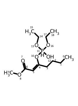 CCCC/C(=C/C(=O)OC)O[PH](O)(OCC)OCC